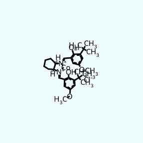 COc1cc(C=[N+]2[Co][N+](=Cc3cc(OC)cc(C(C)(C)C)c3O)[C@@H]3CCCC[C@H]32)c(O)c(C(C)(C)C)c1.[Cl-]